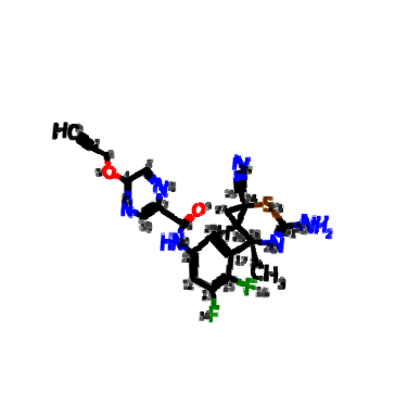 C#CCOc1cnc(C(=O)Nc2cc(F)c(F)c([C@@]3(C)N=C(N)S[C@@]4(C#N)C[C@H]43)c2)cn1